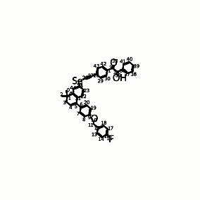 CC1(C)CC=C(c2ccc(OCc3ccc(F)cc3)cc2)c2ccc([Se]C#Cc3ccc(C(=O)C(O)c4ccccc4)cc3)cc21